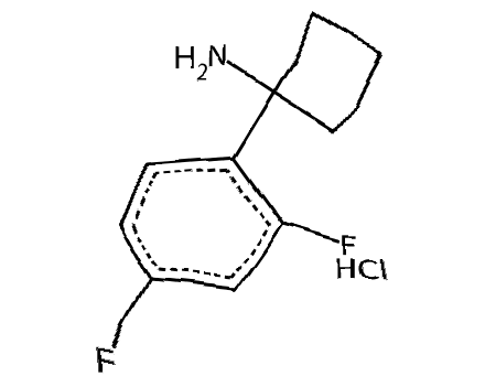 Cl.NC1(c2ccc(F)cc2F)CCC1